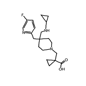 O=C(O)C1(CN2CCC(CNC3CC3)(Cc3ccc(F)cn3)CC2)CC1